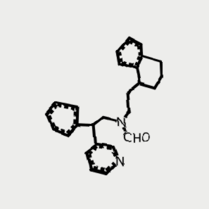 O=CN(CCC1CCCc2ccccc21)CC(c1ccccc1)c1cccnc1